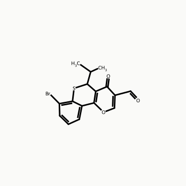 CC(C)C1Sc2c(Br)cccc2-c2occ(C=O)c(=O)c21